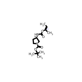 C/C=C(/C)OC(=O)N[C@@H]1CCN(C(=O)OC(C)(C)C)C1